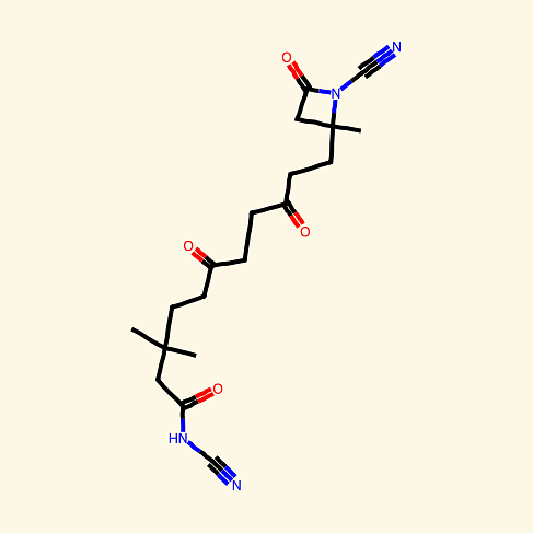 CC(C)(CCC(=O)CCC(=O)CCC1(C)CC(=O)N1C#N)CC(=O)NC#N